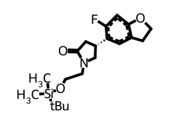 CC(C)(C)[Si](C)(C)OCCN1C[C@@H](c2cc3c(cc2F)OCC3)CC1=O